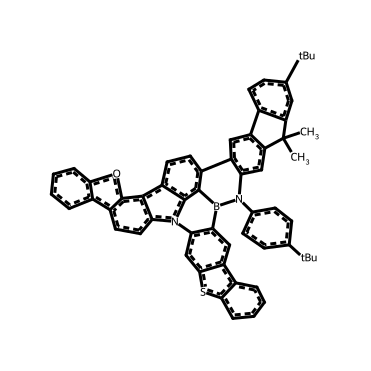 CC(C)(C)c1ccc(N2B3c4cc5c(cc4-n4c6ccc7c8ccccc8oc7c6c6ccc(c3c64)-c3cc4c(cc32)C(C)(C)c2cc(C(C)(C)C)ccc2-4)sc2ccccc25)cc1